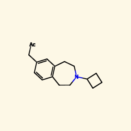 CC(=O)Cc1ccc2c(c1)CCN(C1CCC1)CC2